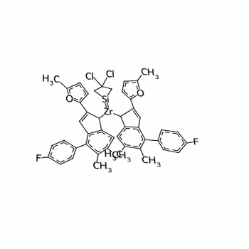 Cc1ccc(C2=Cc3c(cc(C)c(C)c3-c3ccc(F)cc3)[CH]2[Zr]([CH]2C(c3ccc(C)o3)=Cc3c2cc(C)c(C)c3-c2ccc(F)cc2)=[Si]2CC(Cl)(Cl)C2)o1